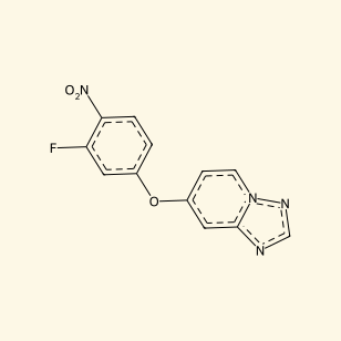 O=[N+]([O-])c1ccc(Oc2ccn3ncnc3c2)cc1F